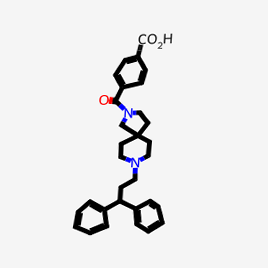 O=C(O)c1ccc(C(=O)N2CCC3(CCN(CCC(c4ccccc4)c4ccccc4)CC3)C2)cc1